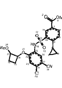 COC(=O)c1ccc(C2CC2)c(S(=O)(=O)Nc2cc(C#N)c(Cl)cc2OC2CCC2OC)c1